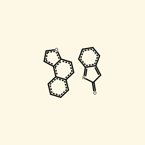 O=C1C=c2ccccc2=N1.c1ccc2c(c1)ccc1occc12